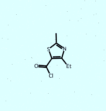 CCc1nc(C)sc1C(=O)Cl